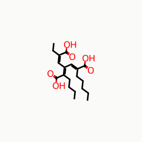 CCCCCC(=CC(C=C(CC)C(=O)O)=C(CCCC)C(=O)O)C(=O)O